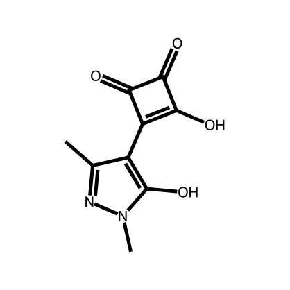 Cc1nn(C)c(O)c1-c1c(O)c(=O)c1=O